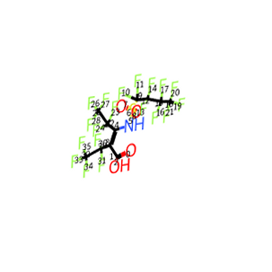 O=C(O)C(=C(NS(=O)(=O)C(F)(F)C(F)(F)C(F)(F)C(F)(F)F)C(F)(F)C(F)(F)F)C(F)(F)C(F)(F)F